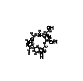 C#Cc1nn(C)c2c1-c1ccc3[nH]nc(c3c1)/C=C/c1c(OCC)nn(CCO)c1CN(C)C[C@H](C)O2